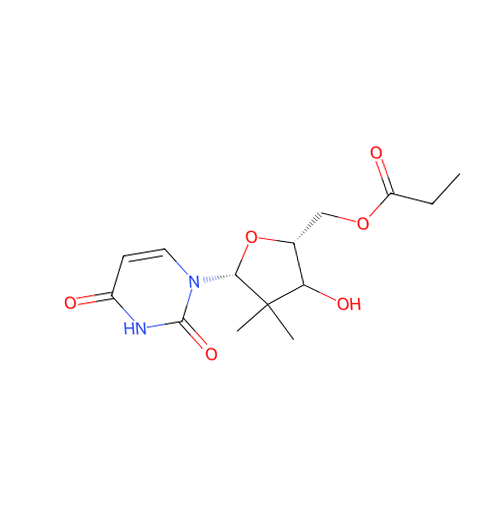 CCC(=O)OC[C@H]1O[C@@H](n2ccc(=O)[nH]c2=O)C(C)(C)C1O